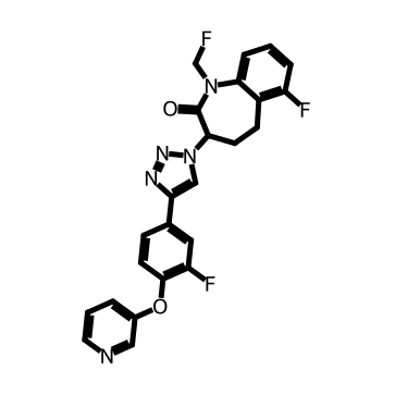 O=C1C(n2cc(-c3ccc(Oc4cccnc4)c(F)c3)nn2)CCc2c(F)cccc2N1CF